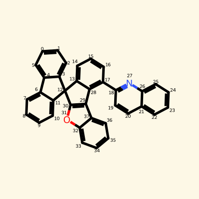 c1ccc2c(c1)-c1ccccc1C21c2cccc(-c3ccc4ccccc4n3)c2-c2c1oc1ccccc21